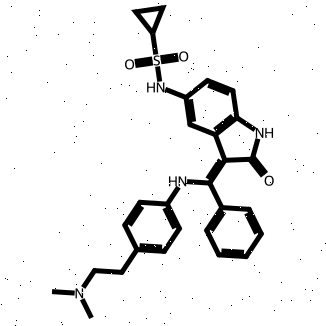 CN(C)CCc1ccc(NC(=C2C(=O)Nc3ccc(NS(=O)(=O)C4CC4)cc32)c2ccccc2)cc1